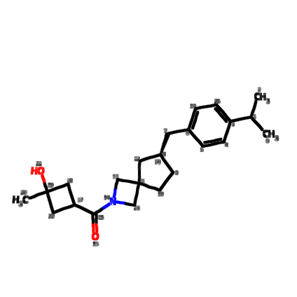 CC(C)c1ccc(C[C@H]2CCC3(C2)CN(C(=O)C2CC(C)(O)C2)C3)cc1